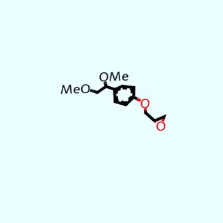 COCC(OC)c1ccc(OCC2CO2)cc1